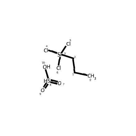 CCC[Si](Cl)(Cl)Cl.O=[SH](=O)O